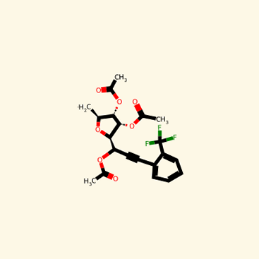 [CH2][C@@H]1O[C@H](C(C#Cc2ccccc2C(F)(F)F)OC(C)=O)[C@@H](OC(C)=O)[C@H]1OC(C)=O